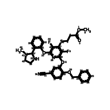 COC(=O)CCSc1c(F)c(Oc2cc(C#N)ccc2OCc2ccccc2)nc(Oc2ccccc2C2NCCN2C)c1F